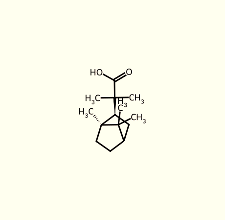 CC(C)(C(=O)O)[C@H]1CC2CC[C@]1(C)C2(C)C